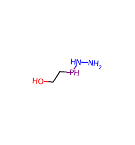 NNPCCO